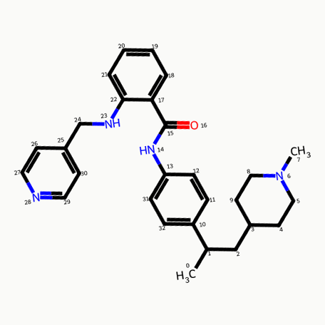 CC(CC1CCN(C)CC1)c1ccc(NC(=O)c2ccccc2NCc2ccncc2)cc1